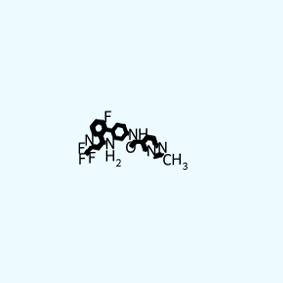 Cc1cn2cc(C(=O)NC3CCC(c4c(F)ccc5nc(C(F)(F)F)cc(N)c45)CC3)ccc2n1